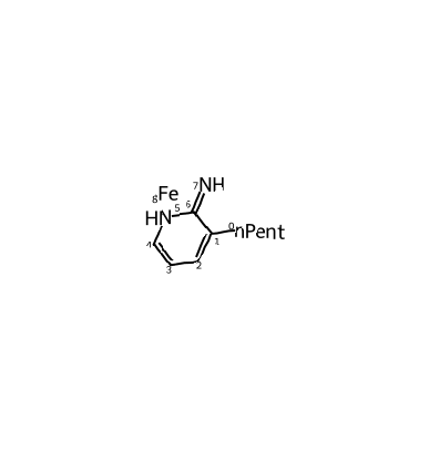 CCCCCc1ccc[nH]c1=N.[Fe]